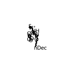 CCCCCCCCCCCCCCCCOC[C@@H]1CO[C@@H](COC(=O)NCC[n+]2ccsc2)C1.Cc1ccc(S(=O)(=O)[O-])cc1